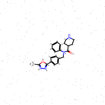 O=C(C1CCNCC1)N(Cc1ccc(-c2nnc(C(F)(F)F)o2)cc1)c1ccccc1